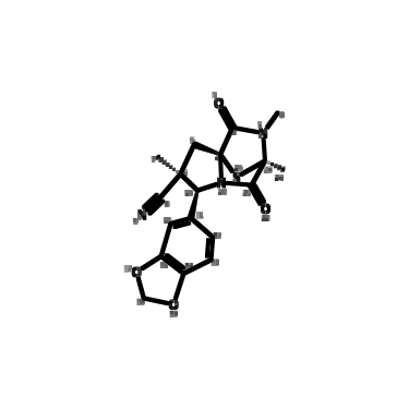 CN1C(=O)[C@@]23C[C@](C)(C#N)[C@H](c4ccc5c(c4)OCO5)N2C(=O)[C@@]1(C)S3